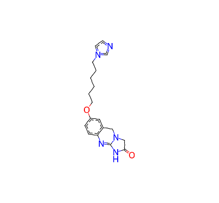 O=C1CN2Cc3cc(OCCCCCCn4ccnc4)ccc3N=C2N1